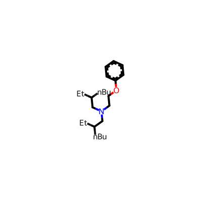 CCCCC(CC)CN(CCOc1ccccc1)CC(CC)CCCC